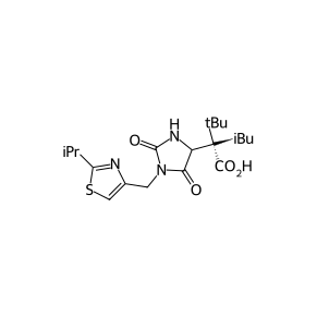 CC[C@H](C)[C@@](C(=O)O)(C1NC(=O)N(Cc2csc(C(C)C)n2)C1=O)C(C)(C)C